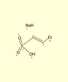 CCC=CS(=O)(=O)O.[NaH]